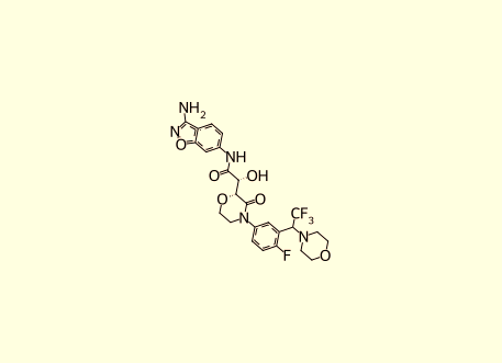 Nc1noc2cc(NC(=O)[C@H](O)[C@H]3OCCN(c4ccc(F)c(C(N5CCOCC5)C(F)(F)F)c4)C3=O)ccc12